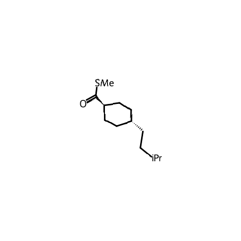 CSC(=O)[C@H]1CC[C@H](CCC(C)C)CC1